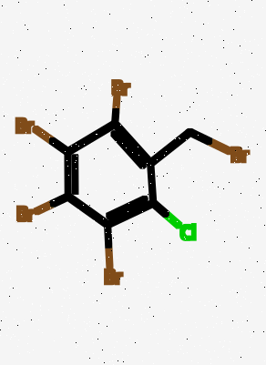 Clc1c(Br)c(Br)c(Br)c(Br)c1CBr